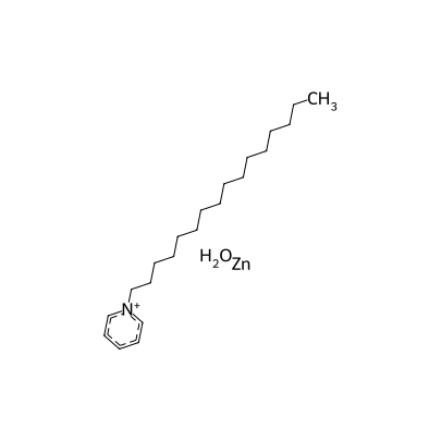 CCCCCCCCCCCCCCCC[n+]1ccccc1.O.[Zn]